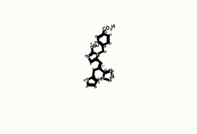 CCCCc1ncc(/C=C(\Cc2cccs2)c2nnn[nH]2)n1Cc1ccc(C(=O)O)cc1